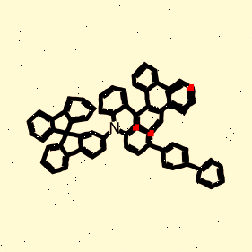 c1ccc(-c2ccc(-c3ccc(N(c4ccc5c(c4)C4(c6ccccc6-c6ccccc64)c4ccccc4-5)c4ccccc4-c4cccc(-c5ccccc5)c4-c4ccccc4-c4ccccc4)cc3)cc2)cc1